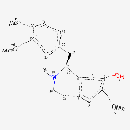 COc1cc2c(cc1O)[C@H](Cc1ccc(OC)c(OC)c1)N(C)CC2